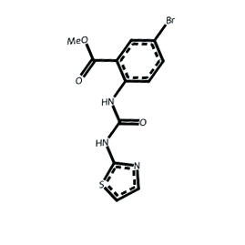 COC(=O)c1cc(Br)ccc1NC(=O)Nc1nccs1